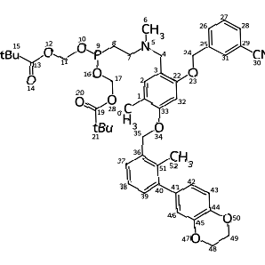 Cc1cc(CN(C)CCP(OCOC(=O)C(C)(C)C)OCOC(=O)C(C)(C)C)c(OCc2cccc(C#N)c2)cc1OCc1cccc(-c2ccc3c(c2)OCCO3)c1C